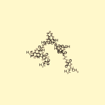 CCC(CC)C1CC(=O)N(CCCCCC(=O)N[C@@H](CC(=O)O)C(=O)N(C)CC(=O)NCC(=O)NC2Cc3ccccc3N(CC(=O)NCCCC(=O)N[C@H]3CCc4c(C)c(F)cc5nc6c(c3c45)Cn3c-6cc4c(c3=O)COC(=O)[C@@H]4CC)C2=O)C1=O